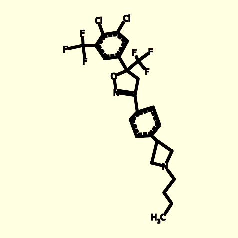 CCCCN1CC(c2ccc(C3=NOC(c4cc(Cl)c(Cl)c(C(F)(F)F)c4)(C(F)(F)F)C3)cc2)C1